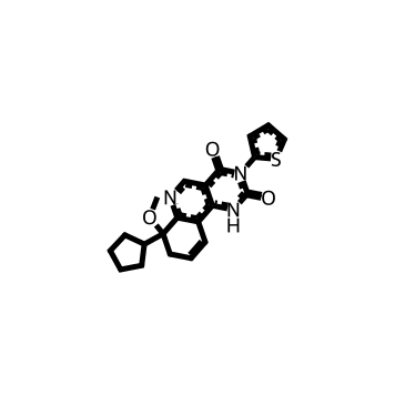 COC1(C2CCCC2)CC=Cc2c1ncc1c(=O)n(-c3cccs3)c(=O)[nH]c21